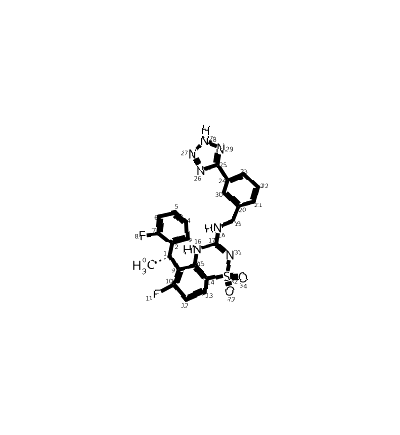 C[C@H](c1ccccc1F)c1c(F)ccc2c1NC(NCc1cccc(-c3nn[nH]n3)c1)=NS2(=O)=O